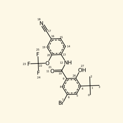 CC(C)(C)c1cc(Br)cc(C(=O)Nc2ccc(C#N)cc2OC(F)(F)F)c1O